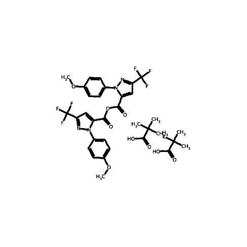 CC(C)(C)C(=O)O.CC(C)(C)C(=O)O.COc1ccc(-n2nc(C(F)(F)F)cc2C(=O)OC(=O)c2cc(C(F)(F)F)nn2-c2ccc(OC)cc2)cc1